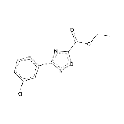 CCOC(=O)c1nc(-c2cccc(Cl)c2)no1